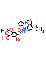 COc1ccc(N(NC(=O)Cc2cc(OC)c(C(=O)O)cc2Br)c2ccccc2N2CCCCC2)cc1